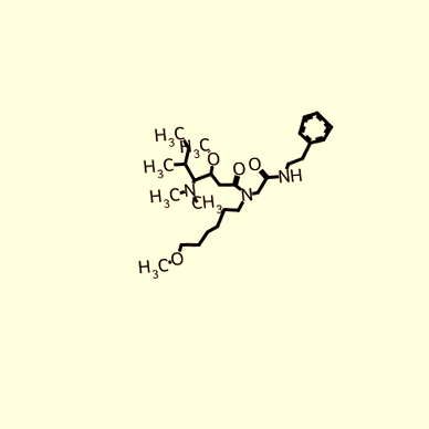 CCC(C)C(C(CC(=O)N(CCCCCCOC)CC(=O)NCCc1ccccc1)OC)N(C)C